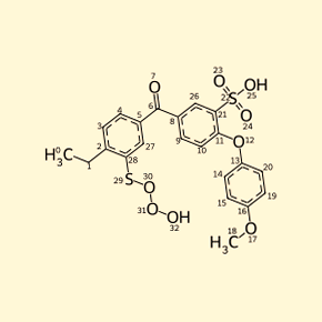 CCc1ccc(C(=O)c2ccc(Oc3ccc(OC)cc3)c(S(=O)(=O)O)c2)cc1SOOO